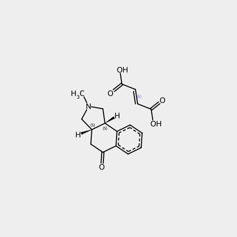 CN1C[C@H]2CC(=O)c3ccccc3[C@H]2C1.O=C(O)/C=C/C(=O)O